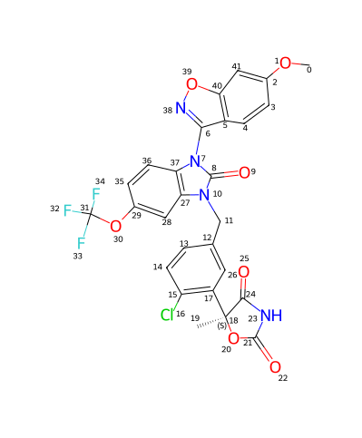 COc1ccc2c(-n3c(=O)n(Cc4ccc(Cl)c([C@]5(C)OC(=O)NC5=O)c4)c4cc(OC(F)(F)F)ccc43)noc2c1